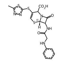 Cc1nnc(SC2=CS[C@H]3C(NC(=O)CNc4ccccc4)C(=O)N3C2C(=O)O)s1